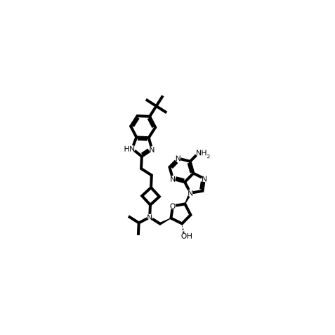 CC(C)N(C[C@H]1O[C@@H](n2cnc3c(N)ncnc32)C[C@@H]1O)C1CC(CCc2nc3cc(C(C)(C)C)ccc3[nH]2)C1